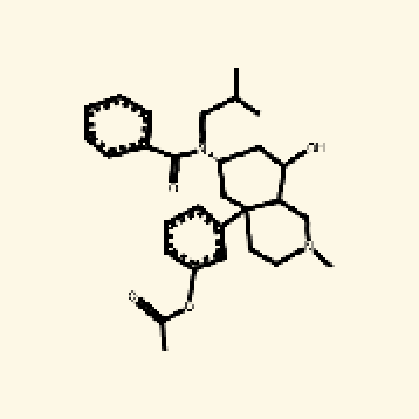 CC(=O)Oc1cccc(C23CCN(C)CC2C(O)C[C@@H](N(CC(C)C)C(=O)c2ccccc2)C3)c1